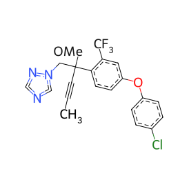 CC#CC(Cn1cncn1)(OC)c1ccc(Oc2ccc(Cl)cc2)cc1C(F)(F)F